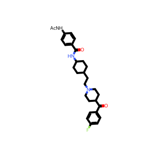 CC(=O)Nc1ccc(C(=O)NC2CCC(CCN3CCC(C(=O)c4ccc(F)cc4)CC3)CC2)cc1